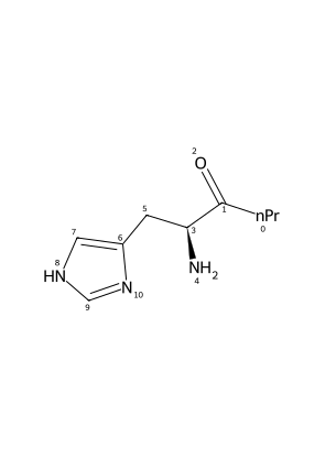 CCCC(=O)[C@@H](N)Cc1c[nH]cn1